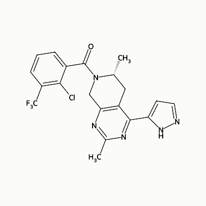 Cc1nc2c(c(-c3ccn[nH]3)n1)C[C@@H](C)N(C(=O)c1cccc(C(F)(F)F)c1Cl)C2